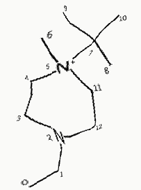 CCN1CC[N+](C)(C(C)(C)C)CC1